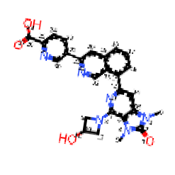 Cn1c(=O)n(C)c2c(N3CC(O)C3)nc(-c3cccc4cc(-c5ccc(C(=O)O)nc5)ncc34)cc21